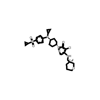 O=c1c(Cl)c(NC[C@]2(F)CCCOC2)cnn1[C@H]1CC[C@H](N(c2ccc(S(=O)(=O)C3CC3)cc2)C2CC2)CC1